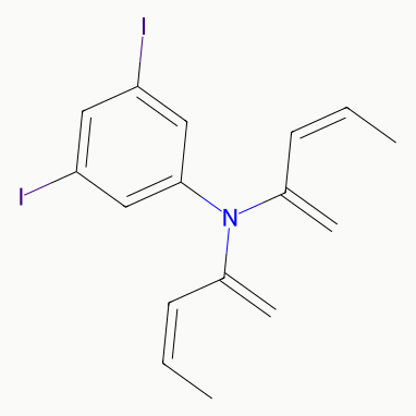 C=C(/C=C\C)N(C(=C)/C=C\C)c1cc(I)cc(I)c1